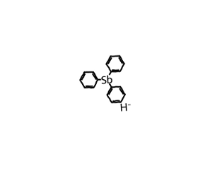 [H-].c1cc[c]([Sb]([c]2ccccc2)[c]2ccccc2)cc1